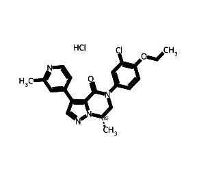 CCOc1ccc(N2C[C@H](C)n3ncc(-c4ccnc(C)c4)c3C2=O)cc1Cl.Cl